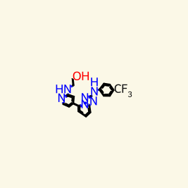 OCCNc1cc(-c2cccc3nc(Nc4ccc(C(F)(F)F)cc4)nn23)ccn1